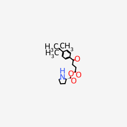 CC(C)(C)c1ccc(C(=O)CCC(=O)OC(=O)[C@@H]2CCCN2)cc1